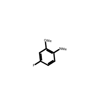 CNc1ccc(F)cc1OC